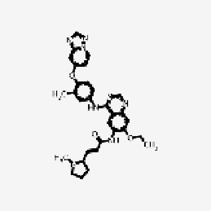 CCOc1cc2ncnc(Nc3ccc(Oc4ccn5ncnc5c4)c(C)c3)c2cc1NC(=O)C=CC1CCCN1C